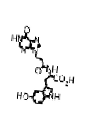 O=C(CCn1cnc2c(=O)[nH]cnc21)NC(Cc1c[nH]c2ccc(O)cc12)C(=O)O